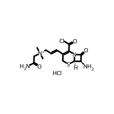 C[N+](C)(C/C=C/C1=C(C(=O)Cl)N2C(=O)[C@@H](N)[C@H]2SC1)CC(N)=O.Cl